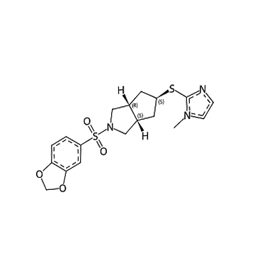 Cn1ccnc1S[C@H]1C[C@@H]2CN(S(=O)(=O)c3ccc4c(c3)OCO4)C[C@@H]2C1